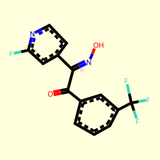 O=C(/C(=N/O)c1ccnc(F)c1)c1cccc(C(F)(F)F)c1